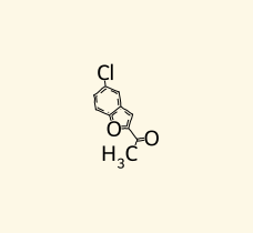 CC(=O)c1cc2cc(Cl)ccc2o1